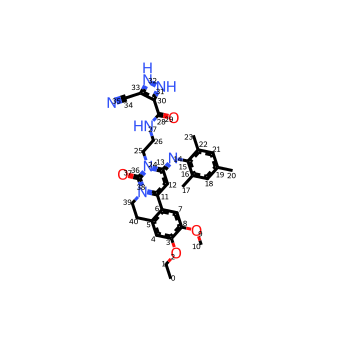 CCOc1cc2c(cc1OC)-c1c/c(=N\c3c(C)cc(C)cc3C)n(CCNC(=O)c3[nH][nH]c3C#N)c(=O)n1CC2